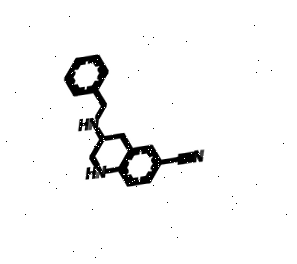 N#Cc1ccc2c(c1)CC(NCc1ccccc1)CN2